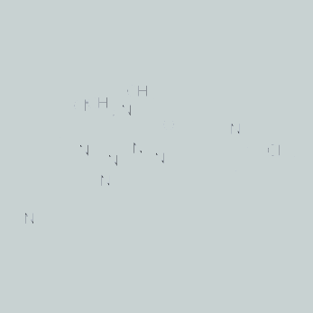 Cc1ccc(-c2nnc(N(C)C(C)c3nnc(-c4ccncc4)n3-c3ccccc3Cl)o2)cn1